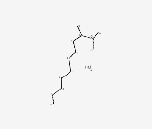 CCCCCCCCC(C)N(C)C.Cl